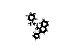 C1=CCC(c2ccc3ccccc3c2/C=N/Nc2ccccc2)=C1